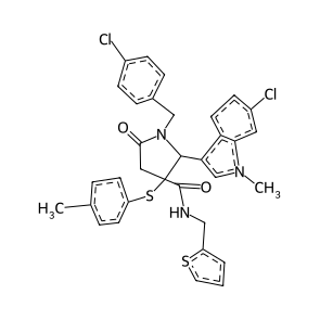 Cc1ccc(SC2(C(=O)NCc3cccs3)CC(=O)N(Cc3ccc(Cl)cc3)C2c2cn(C)c3cc(Cl)ccc23)cc1